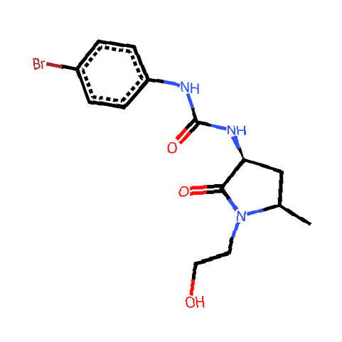 CC1C[C@H](NC(=O)Nc2ccc(Br)cc2)C(=O)N1CCO